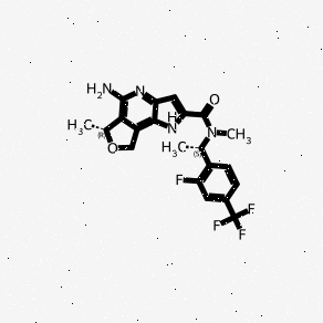 C[C@H]1OCc2c1c(N)nc1cc(C(=O)N(C)[C@@H](C)c3ccc(C(F)(F)F)cc3F)[nH]c21